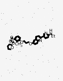 CCNc1ccc(-c2ccc3cc(OCCCOc4cccc(S(=O)(=O)OC5CCCCO5)c4C)ccc3n2)cn1